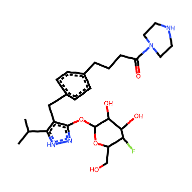 CC(C)c1[nH]nc(OC2OC(CO)C(F)C(O)C2O)c1Cc1ccc(CCCC(=O)N2CCNCC2)cc1